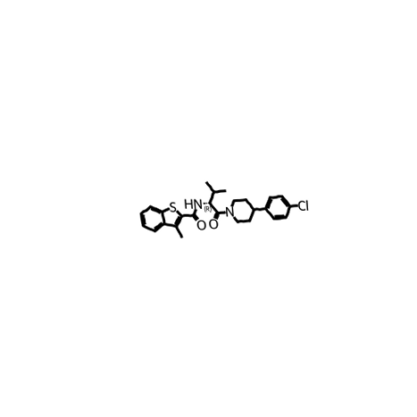 Cc1c(C(=O)N[C@@H](C(=O)N2CCC(c3ccc(Cl)cc3)CC2)C(C)C)sc2ccccc12